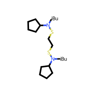 CCC(C)N(SCCSN(C(C)CC)C1CCCC1)C1CCCC1